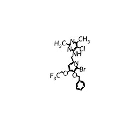 Cc1nc(C)c(Cl)c(NCc2cc(OCC(F)(F)F)c(OCc3ccccc3)c(Br)n2)n1